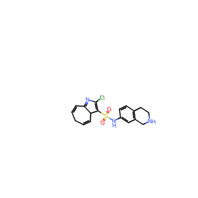 O=S(=O)(Nc1ccc2c(c1)CNCC2)C1=C(Cl)N=C2C=CCC=CC21